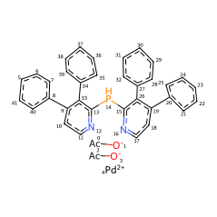 CC(=O)[O-].CC(=O)[O-].[Pd+2].c1ccc(-c2ccnc(Pc3nccc(-c4ccccc4)c3-c3ccccc3)c2-c2ccccc2)cc1